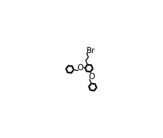 BrCCCc1ccc(OCc2ccccc2)cc1OCc1ccccc1